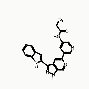 CC(C)CC(=O)Nc1cncc(-c2cc3c(-c4cc5ccccc5[nH]4)n[nH]c3cn2)c1